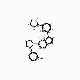 Fc1cccc(C2CCCN2c2ccc3ncc(-c4cccc(C5OCCO5)n4)n3n2)c1